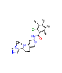 [2H]c1c([2H])c([2H])c(C(=O)Nc2cc3nc(-c4cncn4C)ccc3cn2)c(Cl)c1[2H]